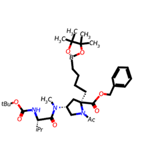 CC(=O)N1C[C@H](N(C)C(=O)[C@@H](NC(=O)OC(C)(C)C)C(C)C)C[C@@]1(CCCCB1OC(C)(C)C(C)(C)O1)C(=O)OCc1ccccc1